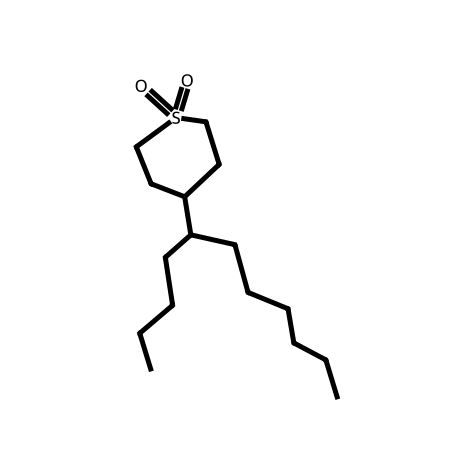 CCCCCCC(CCCC)C1CCS(=O)(=O)CC1